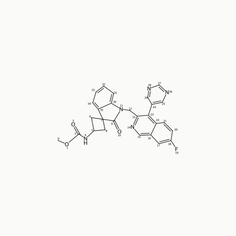 COC(=O)NC1CC2(C1)C(=O)N(Cc1ncc3cc(F)ccc3c1-c1cncnc1)c1ccccc12